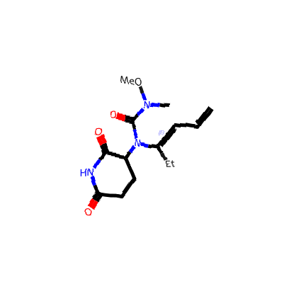 C=C/C=C(\CC)N(C(=O)N(C)OC)C1CCC(=O)NC1=O